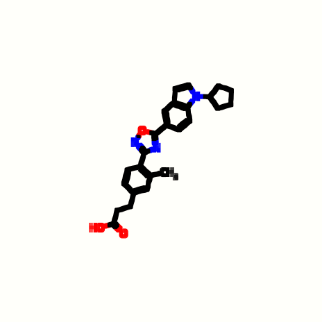 Cc1cc(CCC(=O)O)ccc1-c1noc(-c2ccc3c(ccn3C3CCCC3)c2)n1